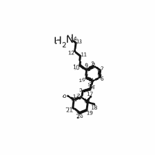 CC1=C(C=Cc2cccc(CCCCN)c2)C(C)(C)CCC1